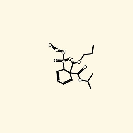 CCCOC(=O)C1(C(=O)OC(C)C)C=CC=CC1S(=O)(=O)N=C=O